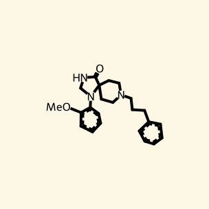 COc1ccccc1N1CNC(=O)C12CCN(CCCc1ccccc1)CC2